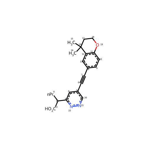 CCCC(C(=O)O)c1cc(C#Cc2ccc3c(c2)C(C)(C)CCO3)cnn1